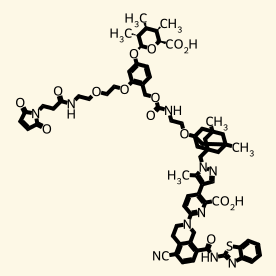 Cc1c(-c2ccc(N3CCc4c(C#N)ccc(C(=O)Nc5nc6ccccc6s5)c4C3)nc2C(=O)O)cnn1CC12CC3(C)CC(C)(C1)CC(OCCNC(=O)OCc1ccc(O[C@@H]4O[C@H](C(=O)O)[C@@H](C)[C@H](C)[C@H]4C)cc1OCCOCCNC(=O)CCN1C(=O)C=CC1=O)(C3)C2